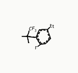 CCc1ccc(F)c(C(C)(C)C(F)(F)F)c1